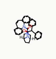 O=C(N1C[C@H]2CC[C@@H](C1)N2C(=O)C(c1ccccc1)c1ccccc1)N1c2ccccc2C=Cc2ccccc21